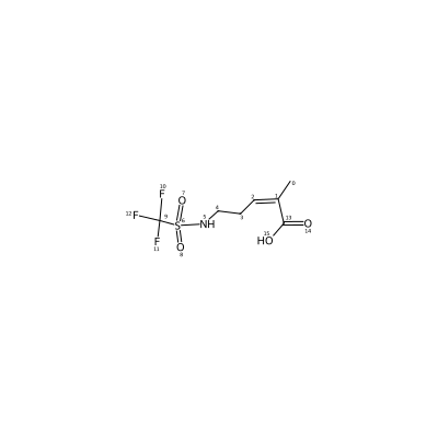 CC(=CCCNS(=O)(=O)C(F)(F)F)C(=O)O